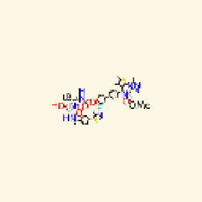 COC(=O)C[C@@H]1N=C(c2ccc(-c3ccc(OCC(=O)NC(C(=O)N4C[C@H](O)C[C@H]4C(=O)NC(C)c4ccc(-c5scnc5C)cc4)C(C)(C)C)c(F)c3)cc2)c2c(sc(C)c2C)-n2c(C)nnc21